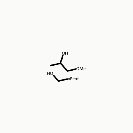 CCCCCCO.COCC(C)O